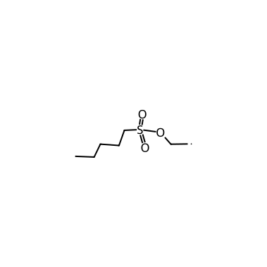 [CH2]COS(=O)(=O)CCCCC